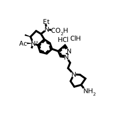 CCN(C(=O)O)C1C[C@H](C)[N@+](C)(C(C)=O)c2ccc(-c3cnn(CCN4CCC(N)CC4)c3)cc21.Cl.Cl